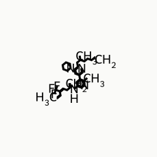 C=CCCCC(C)Cc1ncc(-c2cc(NC(=C)C/C=C(\C=C/C)C(F)(F)F)cnc2C)cc1N1CCCCC1